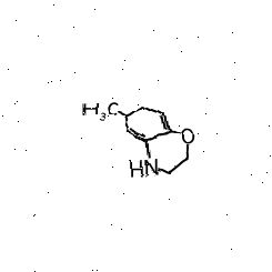 CC1C=C2NCCOC2=CC1